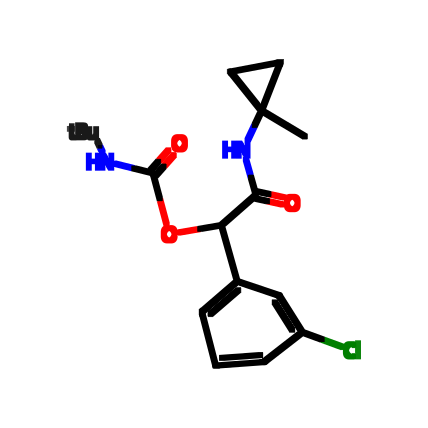 CC(C)(C)NC(=O)OC(C(=O)NC1(C)CC1)c1cccc(Cl)c1